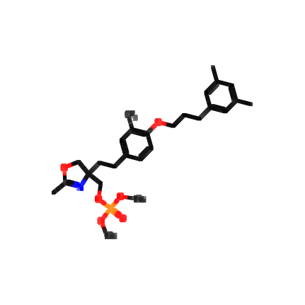 CC1=NC(CCc2ccc(OCCCc3cc(C)cc(C)c3)c(C(F)(F)F)c2)(COP(=O)(OC(C)(C)C)OC(C)(C)C)CO1